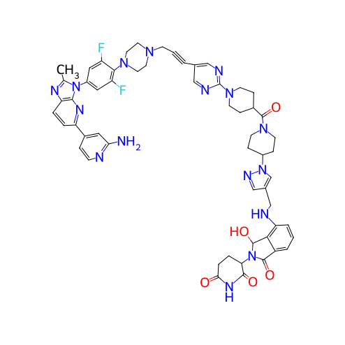 Cc1nc2ccc(-c3ccnc(N)c3)nc2n1-c1cc(F)c(N2CCN(CC#Cc3cnc(N4CCC(C(=O)N5CCC(n6cc(CNc7cccc8c7C(O)N(C7CCC(=O)NC7=O)C8=O)cn6)CC5)CC4)nc3)CC2)c(F)c1